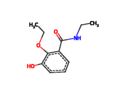 CCNC(=O)c1cccc(O)c1OCC